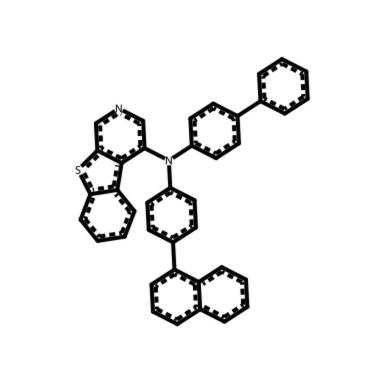 c1ccc(-c2ccc(N(c3ccc(-c4cccc5ccccc45)cc3)c3cncc4sc5ccccc5c34)cc2)cc1